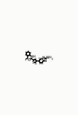 CCc1ccccc1NC(=O)c1cc(-c2ccc3nc(N)nn3c2)cs1